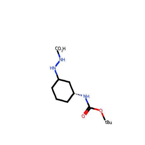 CC(C)(C)OC(=O)N[C@@H]1CCCC(NNC(=O)O)C1